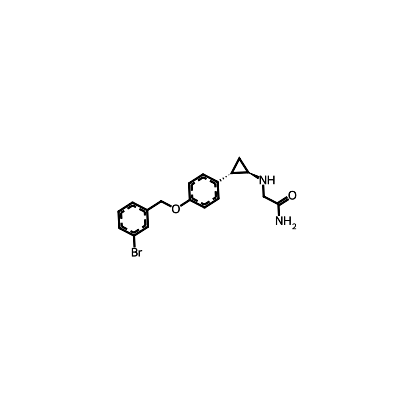 NC(=O)CN[C@@H]1C[C@H]1c1ccc(OCc2cccc(Br)c2)cc1